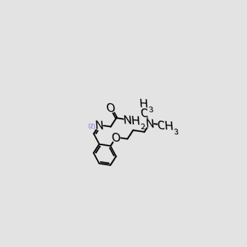 CN(C)CCCOc1ccccc1/C=N\CC(N)=O